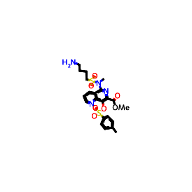 COC(=O)c1nc(N(C)S(=O)(=O)CCCCN)c2cccnc2c1OS(=O)(=O)c1ccc(C)cc1